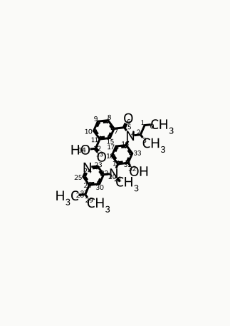 CCC(C)N(C(=O)c1cccc(C(=O)O)c1)c1ccc(N(C)c2cncc(C(C)C)c2)c(O)c1